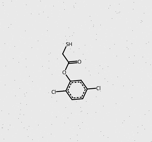 O=C(CS)Oc1cc(Cl)ccc1Cl